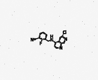 N#Cc1cccc(CNc2ccnc3cnc(Cl)cc23)c1F